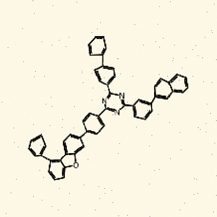 c1ccc(-c2ccc(-c3nc(-c4ccc(-c5ccc6c(c5)oc5cccc(-c7ccccc7)c56)cc4)nc(-c4cccc(-c5ccc6ccccc6c5)c4)n3)cc2)cc1